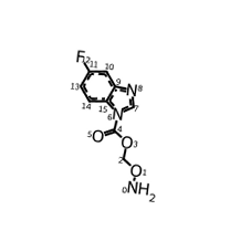 NOCOC(=O)n1cnc2cc(F)ccc21